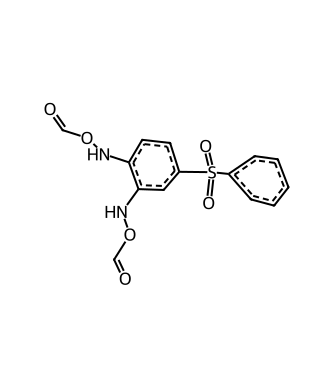 O=CONc1ccc(S(=O)(=O)c2ccccc2)cc1NOC=O